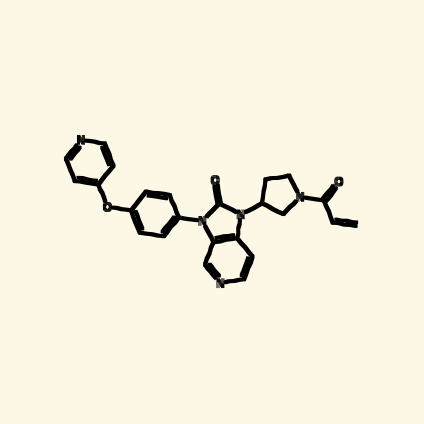 C=CC(=O)N1CCC(n2c(=O)n(-c3ccc(Oc4ccncc4)cc3)c3cnccc32)C1